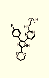 O=C(O)CNc1nccc(-c2[nH]c(C3OCCCO3)nc2-c2ccc(F)cc2)n1